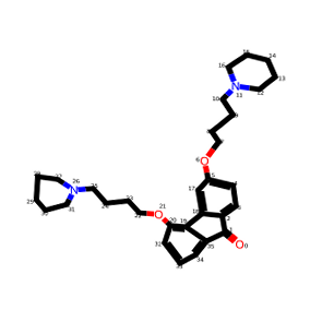 O=C1c2ccc(OCCCCN3CCCCC3)cc2-c2c(OCCCCN3CCCCC3)cccc21